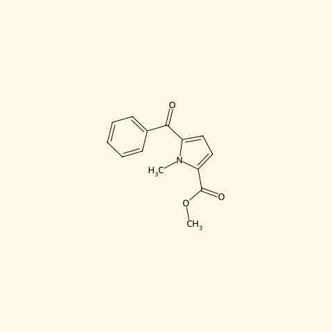 COC(=O)c1ccc(C(=O)c2ccccc2)n1C